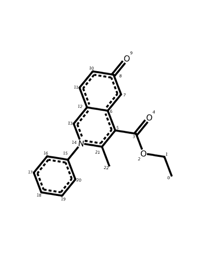 CCOC(=O)c1c2cc(=O)ccc-2cn(-c2ccccc2)c1C